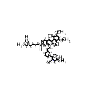 CCN(CC)CCCCNc1ncc2cc(-c3c(Cl)c(OC)cc(OC)c3Cl)c(=O)n(CCC3CCCN(C(=O)/C(C#N)=C\C(C)C)C3)c2n1